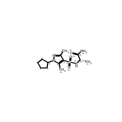 Cc1nn(C2CCCC2)c(C)c1S(=O)(=O)N[C@@H](C)C(N)=O